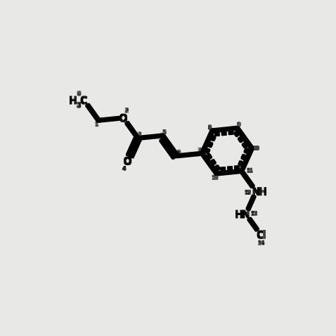 CCOC(=O)C=Cc1cccc(NNCl)c1